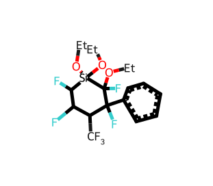 CCOC1(F)C(F)(c2ccccc2)C(C(F)(F)F)C(F)C(F)[Si]1(OCC)OCC